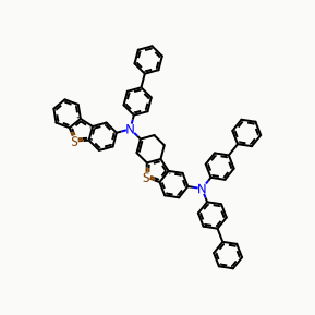 C1=C(N(c2ccc(-c3ccccc3)cc2)c2ccc3sc4ccccc4c3c2)CCc2c1sc1ccc(N(c3ccc(-c4ccccc4)cc3)c3ccc(-c4ccccc4)cc3)cc21